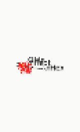 C=CCOP(=O)(OCC=C)O[C@H]1[C@H](OCC[C@@H](CCCCCCC)OC)[C@@H](OCCCCCCCCCC/C=C\CCCCCC)C(O/C=C/C)O[C@@H]1CO